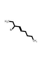 CCCC/C=C/C(Br)CC